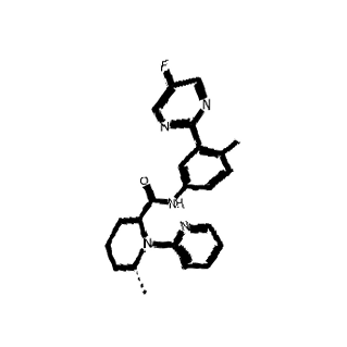 Cc1ccc(NC(=O)C2CCC[C@@H](C)N2c2ccccn2)cc1-c1ncc(F)cn1